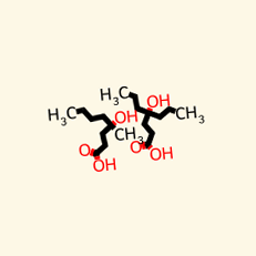 CCCC(O)(CCC)CCC(=O)O.CCCCC(C)(O)CCC(=O)O